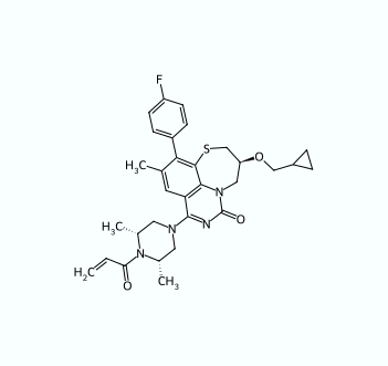 C=CC(=O)N1[C@H](C)CN(c2nc(=O)n3c4c(c(-c5ccc(F)cc5)c(C)cc24)SC[C@@H](OCC2CC2)C3)C[C@@H]1C